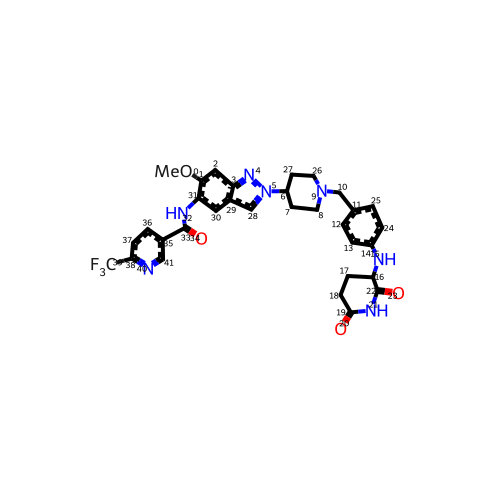 COc1cc2nn(C3CCN(Cc4ccc(NC5CCC(=O)NC5=O)cc4)CC3)cc2cc1NC(=O)c1ccc(C(F)(F)F)nc1